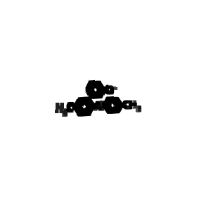 Cc1cc[c]([Al+][c]2ccc(C)cc2)cc1.[O-]c1ccccc1